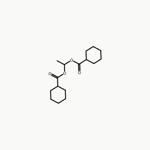 CC(OC(=O)C1CCCCC1)OC(=O)C1CCCCC1